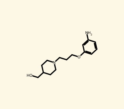 Nc1cccc(OCCCN2CCC(CO)CC2)c1